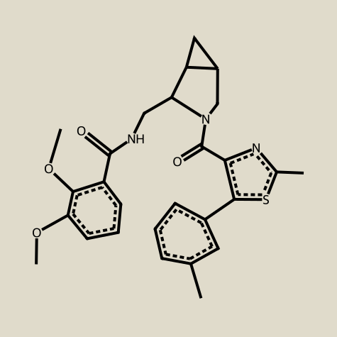 COc1cccc(C(=O)NCC2C3CC3CN2C(=O)c2nc(C)sc2-c2cccc(C)c2)c1OC